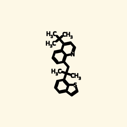 CC(C)(C)c1ccnc2c(CC(C)(C)c3cccc4ccsc34)cccc12